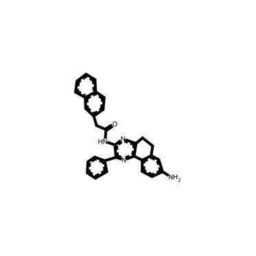 Nc1ccc2c(c1)CCc1nc(NC(=O)Cc3ccc4ccccc4c3)c(-c3ccccc3)nc1-2